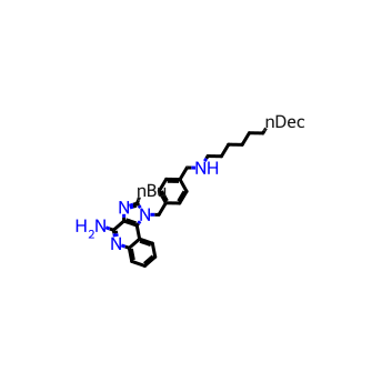 CCCCCCCCCCCCCCCCNCc1ccc(Cn2c(CCCC)nc3c(N)nc4ccccc4c32)cc1